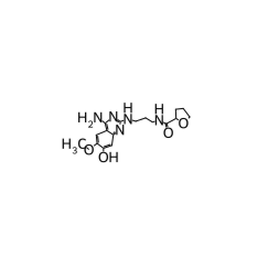 COc1cc2c(N)nc(NCCCNC(=O)C3CCCO3)nc2cc1O